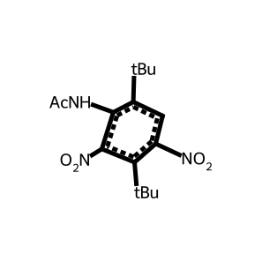 CC(=O)Nc1c(C(C)(C)C)cc([N+](=O)[O-])c(C(C)(C)C)c1[N+](=O)[O-]